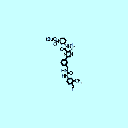 CC(C)(C)OC(=O)N1CCC[C@H](NC(=O)c2nc(-c3cccc(CNC(=O)Nc4ccc(CI)c(C(F)(F)F)c4)c3)cnc2N)C1